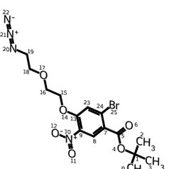 CC(C)(C)OC(=O)c1cc([N+](=O)[O-])c(OCCOCCN=[N+]=[N-])cc1Br